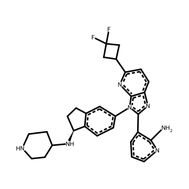 Nc1ncccc1-c1nc2ccc(C3CC(F)(F)C3)nc2n1-c1ccc2c(c1)CC[C@@H]2NC1CCNCC1